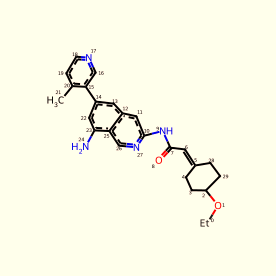 CCOC1CCC(=CC(=O)Nc2cc3cc(-c4cnccc4C)cc(N)c3cn2)CC1